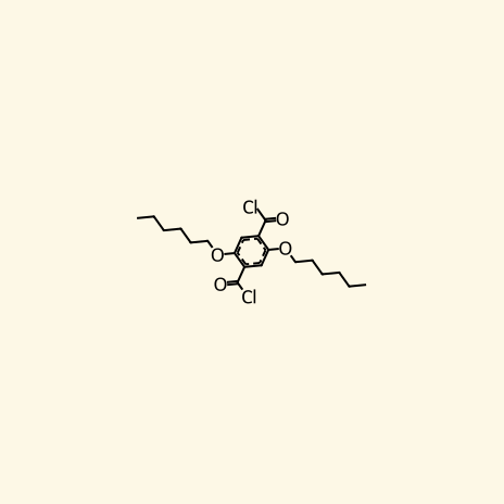 CCCCCCOc1cc(C(=O)Cl)c(OCCCCCC)cc1C(=O)Cl